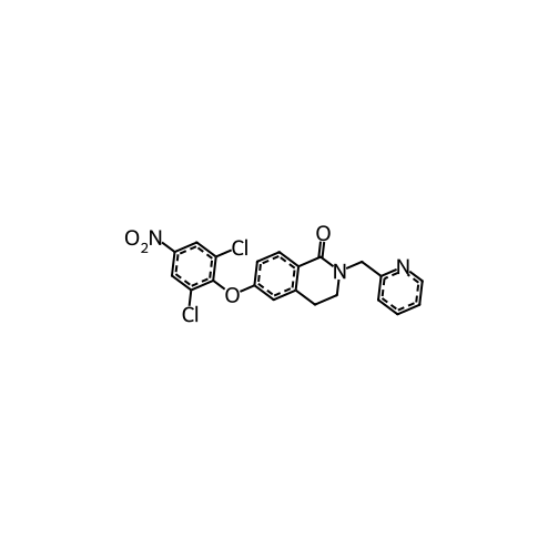 O=C1c2ccc(Oc3c(Cl)cc([N+](=O)[O-])cc3Cl)cc2CCN1Cc1ccccn1